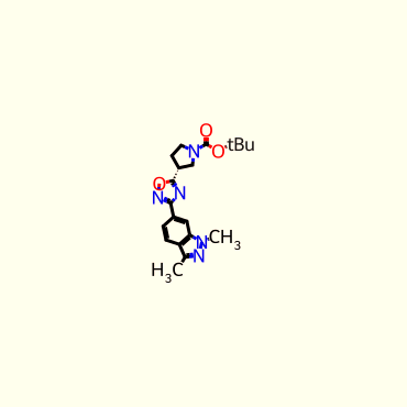 Cc1nn(C)c2cc(-c3noc([C@@H]4CCN(C(=O)OC(C)(C)C)C4)n3)ccc12